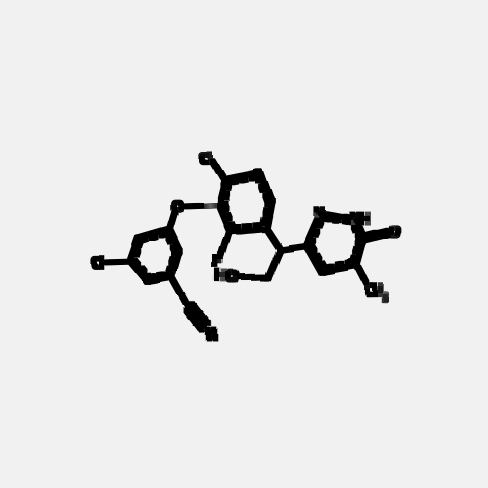 Cc1cc(C(CO)c2ccc(Cl)c(Oc3cc(Cl)cc(C#N)c3)c2F)n[nH]c1=O